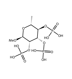 CO[C@H]1O[C@H](C)[C@@H](OP(=O)(O)O)[C@H](OP(=O)(O)O)[C@@H]1OP(=O)(O)O